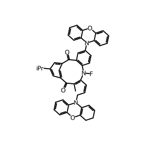 C/C1=C(\C=C/CN2C3=C(CCC=C3)Oc3ccccc32)N(F)c2ccc(N3c4ccccc4Oc4ccccc43)cc2C(=O)c2cc(cc(C(C)C)c2)C1=O